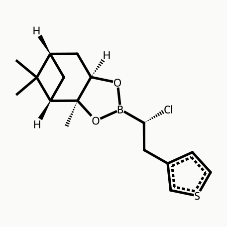 CC1(C)[C@@H]2C[C@H]3OB([C@H](Cl)Cc4ccsc4)O[C@@]3(C)[C@H]1C2